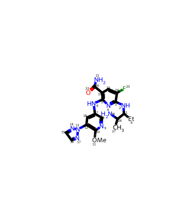 CCC(Nc1nc(Nc2cnc(OC)c(-n3nccn3)c2)c(C(N)=O)cc1F)C(C)N